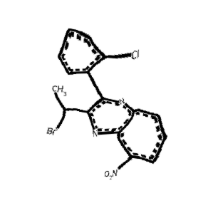 CC(Br)c1nc2c([N+](=O)[O-])cccc2nc1-c1ccccc1Cl